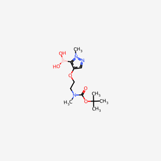 CN(CCOc1cnn(C)c1B(O)O)C(=O)OC(C)(C)C